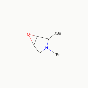 CCN1CC2OC2C1C(C)(C)C